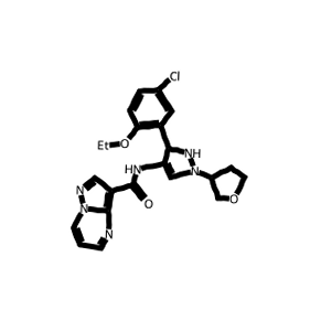 CCOc1ccc(Cl)cc1C1NN(C2CCOC2)C=C1NC(=O)c1cnn2cccnc12